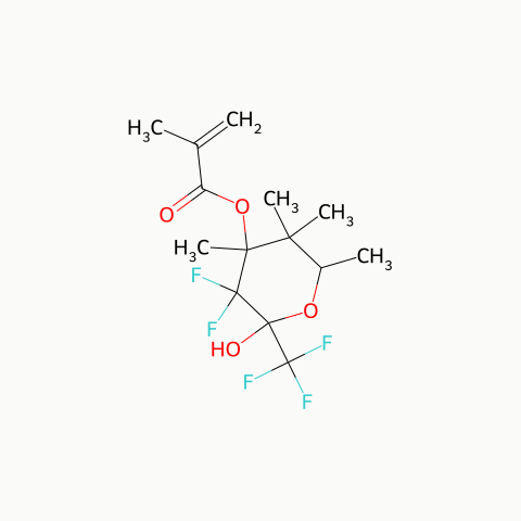 C=C(C)C(=O)OC1(C)C(C)(C)C(C)OC(O)(C(F)(F)F)C1(F)F